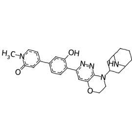 Cn1ccc(-c2ccc(-c3cc4c(nn3)N(C3CC5CCCC(C3)N5)CCO4)c(O)c2)cc1=O